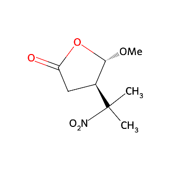 CO[C@H]1OC(=O)C[C@@H]1C(C)(C)[N+](=O)[O-]